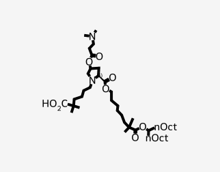 CCCCCCCCC(CCCCCCCC)OC(=O)C(C)(C)CCCCCCOC(=O)[C@@H]1CC(OC(=O)CCN(C)C)CN1CCCCC(C)(C)C(=O)O